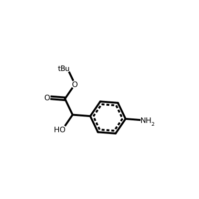 CC(C)(C)OC(=O)C(O)c1ccc(N)cc1